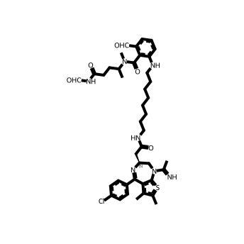 CC(=N)N1C[C@H](CC(=O)NCCCCCCCCNc2cccc(C=O)c2C(=O)N(C)C(C)CCC(=O)NC=O)N=C(c2ccc(Cl)cc2)c2c1sc(C)c2C